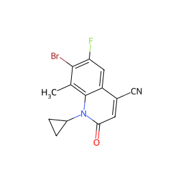 Cc1c(Br)c(F)cc2c(C#N)cc(=O)n(C3CC3)c12